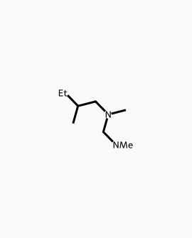 CCC(C)CN(C)CNC